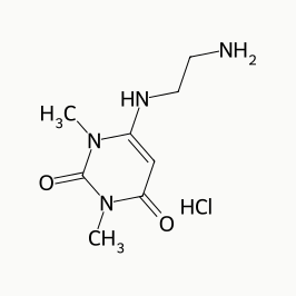 Cl.Cn1c(NCCN)cc(=O)n(C)c1=O